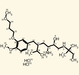 CCC(C)(C)NC[C@H](O)[C@@H](N)C[C@H](Cc1ccc(OC)c(OCCCOC)c1)C(C)C.Cl.Cl